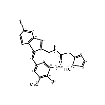 COc1cc(C=C2C(CNC(=O)Cc3cccn3C)=Cc3cc(F)ccc32)cc(OC)c1O